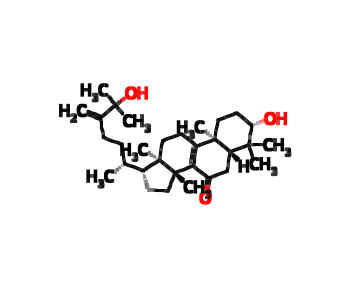 C=C(CC[C@@H](C)[C@H]1CC[C@@]2(C)C3=C(CC[C@]12C)[C@@]1(C)CC[C@H](O)C(C)(C)[C@@H]1CC3=O)C(C)(C)O